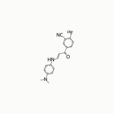 CN(C)c1ccc(NC=CC(=O)c2ccc([18F])c(C#N)c2)cc1